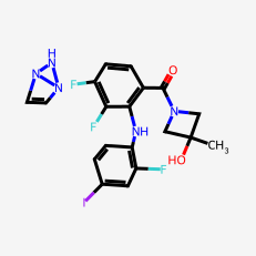 CC1(O)CN(C(=O)c2ccc(F)c(F)c2Nc2ccc(I)cc2F)C1.c1cn2[nH]n12